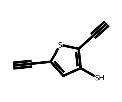 C#Cc1cc(S)c(C#C)s1